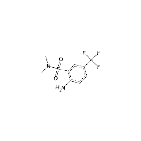 CN(C)S(=O)(=O)c1cc(C(F)(F)F)ccc1N